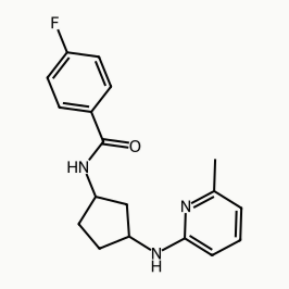 Cc1cccc(NC2CCC(NC(=O)c3ccc(F)cc3)C2)n1